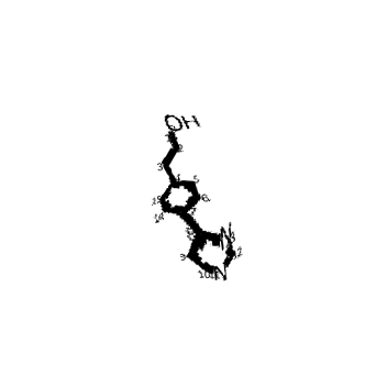 OC/C=C/c1ccc(-c2ccncn2)cc1